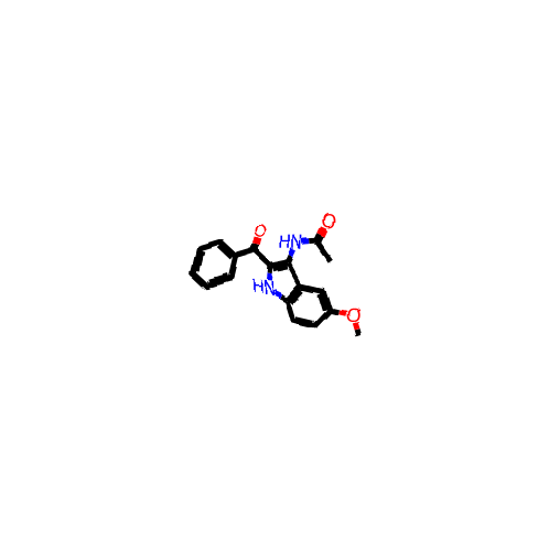 COc1ccc2[nH]c(C(=O)c3ccccc3)c(NC(C)=O)c2c1